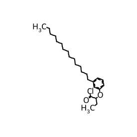 CCCCCCCCCCCCCCCc1cccc(OC(CC)C(=O)Cl)c1